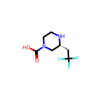 O=C(O)N1CCN[C@H](CC(F)(F)F)C1